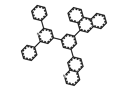 c1ccc(-c2cc(-c3cc(-c4ccc5cccnc5c4)cc(-c4cc5ccccc5c5ccccc45)c3)cc(-c3ccccc3)n2)cc1